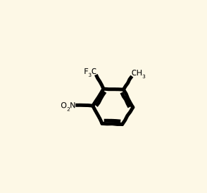 Cc1cccc([N+](=O)[O-])c1C(F)(F)F